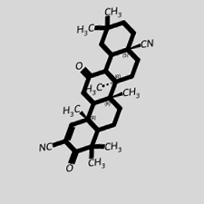 CC1(C)CC[C@]2(C#N)CC[C@]3(C)C(C(=O)CC4[C@@]5(C)C=C(C#N)C(=O)C(C)(C)C5CC[C@]43C)C2C1